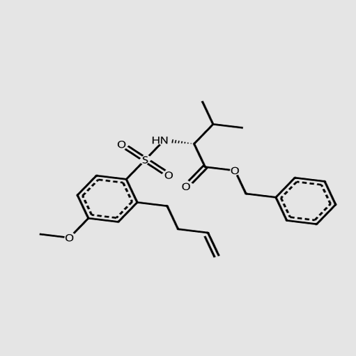 C=CCCc1cc(OC)ccc1S(=O)(=O)N[C@@H](C(=O)OCc1ccccc1)C(C)C